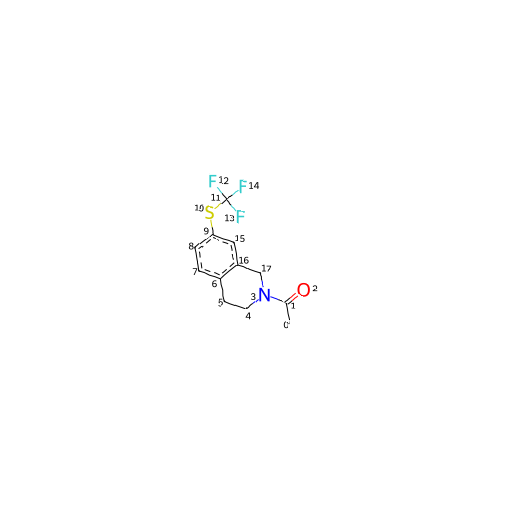 CC(=O)N1CCc2ccc(SC(F)(F)F)cc2C1